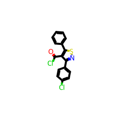 O=C(Cl)c1c(-c2ccc(Cl)cc2)nsc1-c1ccccc1